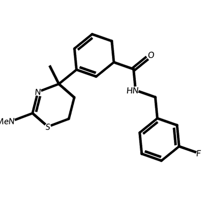 CNC1=NC(C)(C2=CC(C(=O)NCc3cccc(F)c3)CC=C2)CCS1